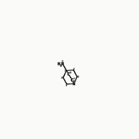 NC12CCN(CC1)CC2